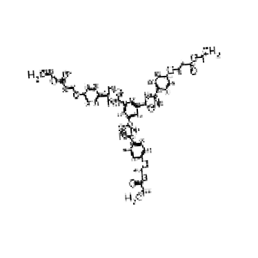 C=COC(=O)CCOc1ccc(-c2noc(-c3cc(-c4nc(-c5ccc(OCCC(=O)OC=C)cc5)no4)cc(-c4nc(-c5ccc(OCOC(=O)C=C)cc5)no4)c3)n2)cc1